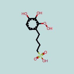 O=S(=O)(O)CCCCc1ccc(O)c(O)c1OO